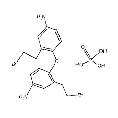 Nc1ccc(Oc2ccc(N)cc2CCBr)c(CCBr)c1.O=P(O)(O)O